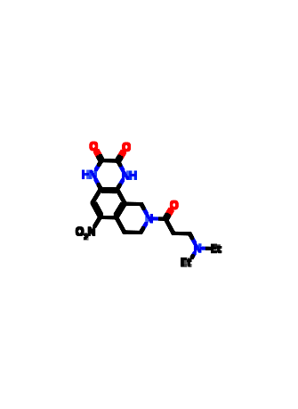 CCN(CC)CCC(=O)N1CCc2c([N+](=O)[O-])cc3[nH]c(=O)c(=O)[nH]c3c2C1